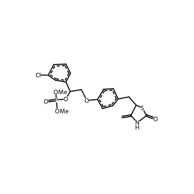 C=C1NC(=O)SC1Cc1ccc(OCC(OP(=O)(OC)OC)c2cccc(Cl)c2)cc1